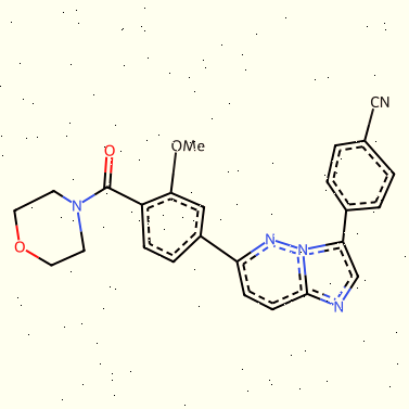 COc1cc(-c2ccc3ncc(-c4ccc(C#N)cc4)n3n2)ccc1C(=O)N1CCOCC1